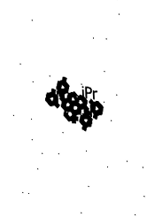 Cc1ccc(N(c2c(C)cccc2C)c2cc(C(C)C)c3ccc4c(N(c5ccc(C)cc5)c5c(C)cccc5C)cc5c6c(cc2c3c46)C(C)(C)CC5)cc1